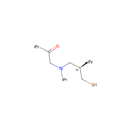 CC(C)C(=O)CN(C[C@H](CS)C(C)C)C(C)C